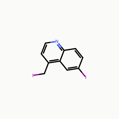 ICc1ccnc2ccc(I)cc12